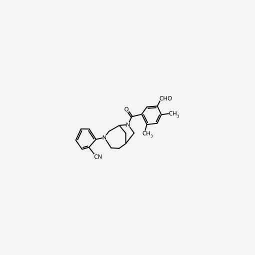 Cc1cc(C)c(C(=O)N2CC3CCN(c4ccccc4C#N)CC2C3)cc1C=O